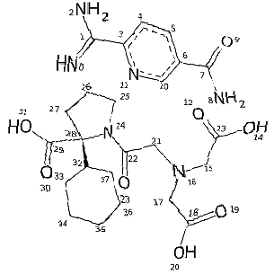 N=C(N)c1ccc(C(N)=O)cn1.O=C(O)CN(CC(=O)O)CC(=O)N1CCC[C@]1(C(=O)O)C1CCCCC1